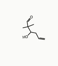 C=CCC(O)C(C)(C)C=O